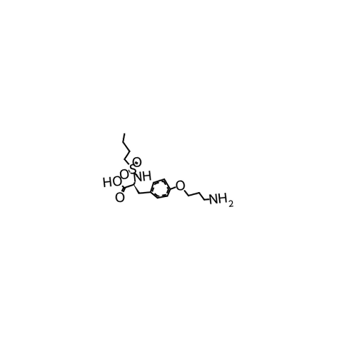 CCCCS(=O)(=O)N[C@@H](Cc1ccc(OCCCN)cc1)C(=O)O